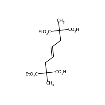 CCOC(=O)C(C)(CC=CCC(C)(C(=O)O)C(=O)OCC)C(=O)O